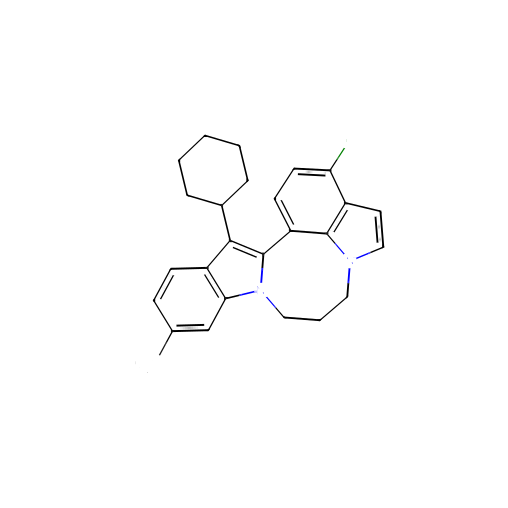 O=C(O)c1ccc2c(C3CCCCC3)c3n(c2c1)CCCn1ccc2c(Cl)ccc-3c21